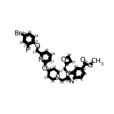 COC(=O)c1ccc2nc(CN3CCC(Oc4cccc(COc5ccc(Br)cc5F)n4)CC3)n(C[C@@H]3CCO3)c2c1